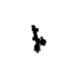 CCOC(=O)CCCCC(=O)N1C[C@H](CO[Si](C)(C)C(C)(C)C)[C@@H](c2ccccc2C)C1